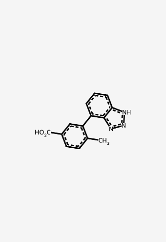 Cc1ccc(C(=O)O)cc1-c1cccc2[nH]nnc12